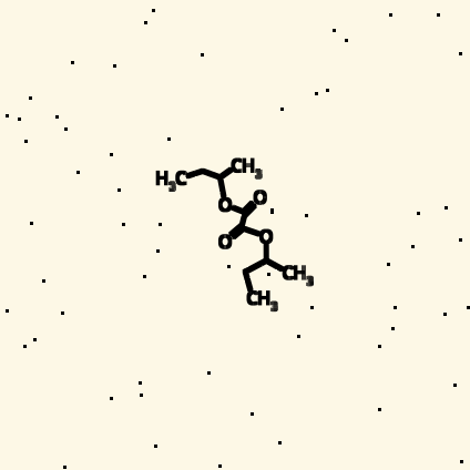 CCC(C)OC(=O)C(=O)OC(C)CC